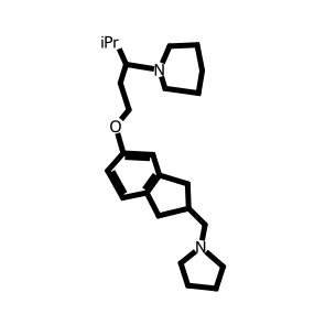 CC(C)C(CCOc1ccc2c(c1)CC(CN1CCCC1)C2)N1CCCCC1